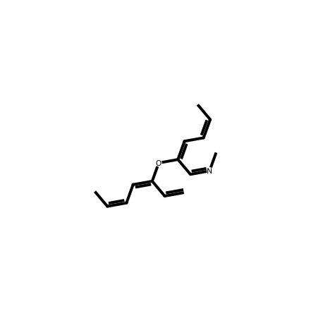 C=C/C(=C\C=C/C)OC(/C=N\C)=C/C=C\C